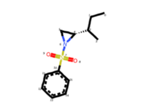 CCC(C)[C@H]1CN1S(=O)(=O)c1ccccc1